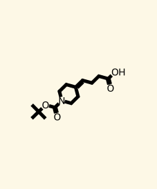 CC(C)(C)OC(=O)N1CCC(=CCCC(=O)O)CC1